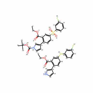 CCOC(=O)c1cc(S(=O)(=O)c2cccc(F)c2)ccc1-c1ccn(C(=O)OC(C)(C)C)c1.CCOC(=O)c1cc(Sc2cccc(F)c2)ccc1-c1cc[nH]c1